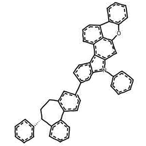 c1ccc([C@@H]2CCc3cc(-c4ccc5c6c7cccc8c7c(cc6n(-c6ccccc6)c5c4)Oc4ccccc4-8)ccc3-c3ccccc32)cc1